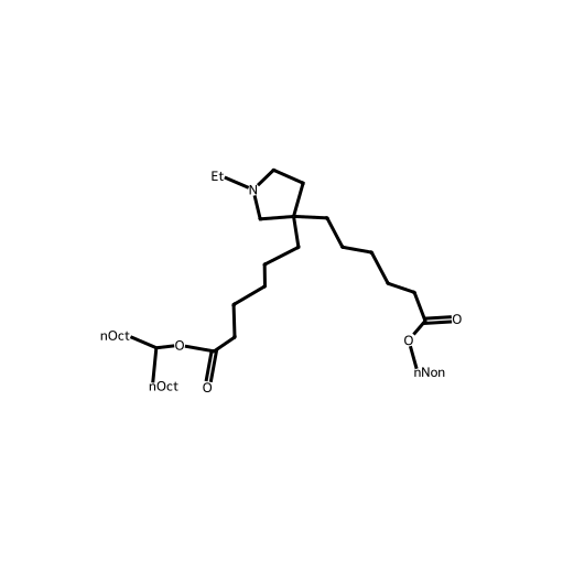 CCCCCCCCCOC(=O)CCCCCC1(CCCCCC(=O)OC(CCCCCCCC)CCCCCCCC)CCN(CC)C1